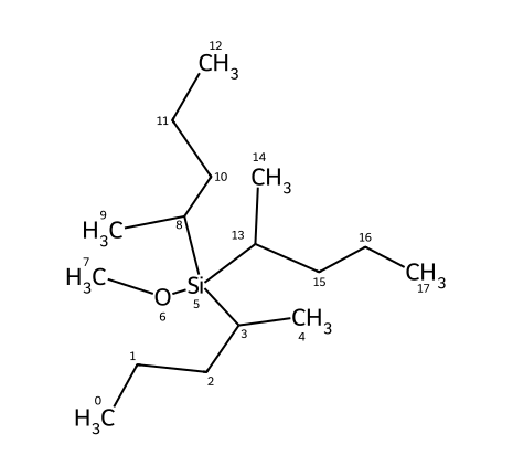 CCCC(C)[Si](OC)(C(C)CCC)C(C)CCC